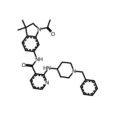 CC(=O)N1CC(C)(C)c2ccc(NC(=O)c3cccnc3NC3CCN(Cc4ccccc4)CC3)cc21